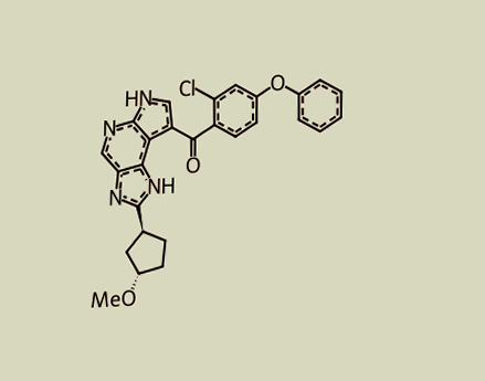 CO[C@H]1CC[C@H](c2nc3cnc4[nH]cc(C(=O)c5ccc(Oc6ccccc6)cc5Cl)c4c3[nH]2)C1